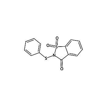 O=C1c2ccccc2S(=O)(=O)N1Sc1ccccc1